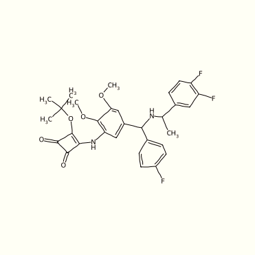 COc1cc(C(NC(C)c2ccc(F)c(F)c2)c2ccc(F)cc2)cc(Nc2c(OC(C)(C)C)c(=O)c2=O)c1OC